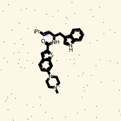 CC(C)/C=C/C(Cc1c[nH]c2ccccc12)NC(=O)c1cc2ccc(N3CCN(C)CC3)cc2s1